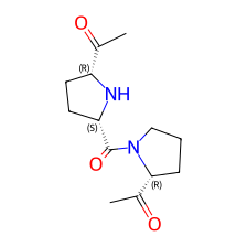 CC(=O)[C@H]1CCCN1C(=O)[C@@H]1CC[C@H](C(C)=O)N1